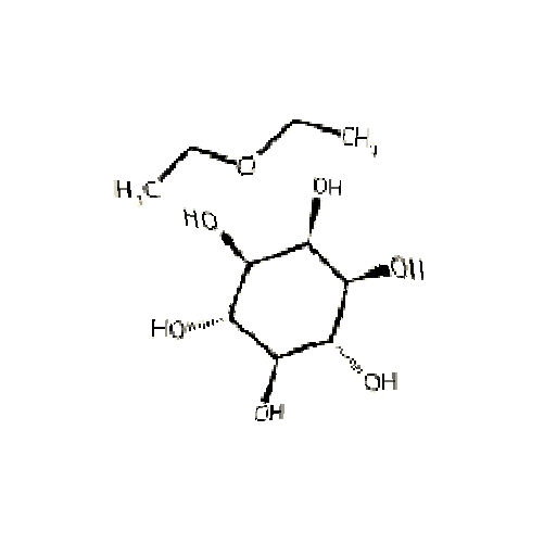 CCOCC.O[C@H]1[C@H](O)[C@@H](O)[C@H](O)[C@@H](O)[C@H]1O